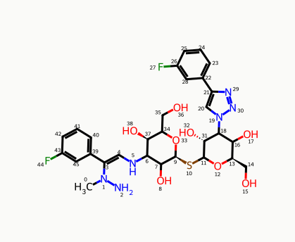 CN(N)/C(=C\NC1C(O)[C@H](SC2O[C@H](CO)C(O)C(n3cc(-c4cccc(F)c4)nn3)[C@H]2O)OC(CO)[C@@H]1O)c1cccc(F)c1